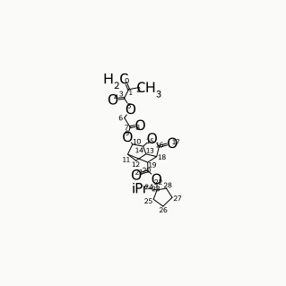 C=C(C)C(=O)OCC(=O)OC1C2CC3C1OC(=O)C3C2C(=O)OC1(C(C)C)CCCC1